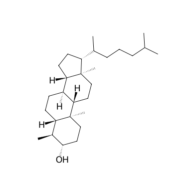 CC(C)CCCC(C)[C@H]1CC[C@H]2[C@@H]3CC[C@H]4[C@H](C)[C@@H](O)CC[C@]4(C)[C@H]3CC[C@]12C